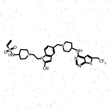 C=CS(=O)(=O)NC1CCN(CCn2c(C#N)cc3cc(CN4CCC(Nc5ncnc6sc(CC(F)(F)F)cc56)CC4)ccc32)CC1